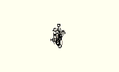 CC(=O)OCC1=C(P(=O)(O)O)N2C(=O)[C@@H](NC(=O)C(C(=O)OC(c3ccccc3)c3ccccc3)c3ccsc3)[C@H]2SC1